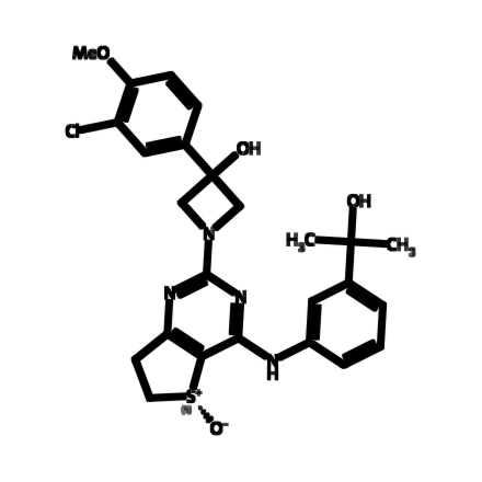 COc1ccc(C2(O)CN(c3nc4c(c(Nc5cccc(C(C)(C)O)c5)n3)[S@+]([O-])CC4)C2)cc1Cl